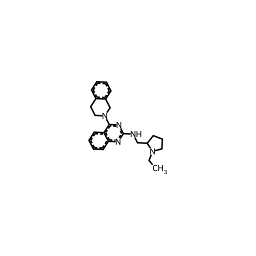 CCN1CCCC1CNc1nc(N2CCc3ccccc3C2)c2ccccc2n1